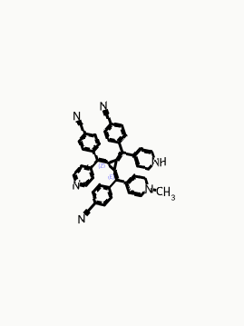 CN1C=CC(/C(=C2\C(=C(C3=CCNC=C3)c3ccc(C#N)cc3)\C2=C(\c2ccncc2)c2ccc(C#N)cc2)c2ccc(C#N)cc2)=CC1